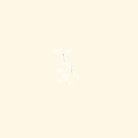 CC(NCC(=O)O)P(=O)(O)O